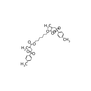 C=C(CS(=O)(=O)c1ccc(C)cc1)C(=O)OCCCCCCOC(=O)C(=C)CS(=O)(=O)c1ccc(C)cc1